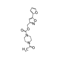 CC(=O)N1CCN(C(=O)OCc2cc(-c3ccco3)on2)CC1